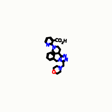 O=C(O)c1cccnc1N1CCC(c2nnc(CN3CCOCC3)n2Cc2ccccc2)CC1